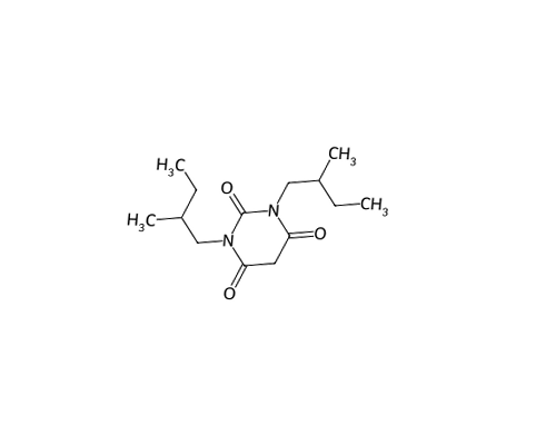 CCC(C)CN1C(=O)CC(=O)N(CC(C)CC)C1=O